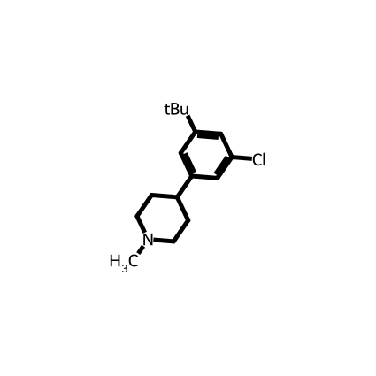 CN1CCC(c2cc(Cl)cc(C(C)(C)C)c2)CC1